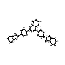 c1ccc2oc(-c3ccc(-c4nc(-c5ccc(-c6nc7ccccc7o6)cc5)c5ccccc5n4)cc3)nc2c1